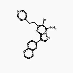 Nc1c(Br)c(CCc2ccncc2)nc2c(-c3ccc4ccccc4c3)cnn12